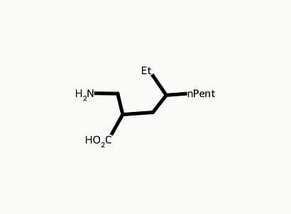 CCCCCC(CC)CC(CN)C(=O)O